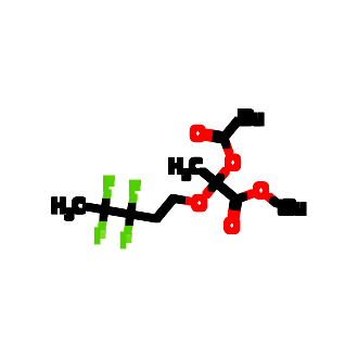 CCC(C)C(=O)OC(C)(OCCC(F)(F)C(C)(F)F)C(=O)OC(C)(C)C